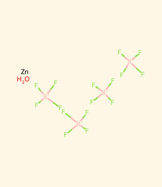 F[B-](F)(F)F.F[B-](F)(F)F.F[B-](F)(F)F.F[B-](F)(F)F.O.[Zn]